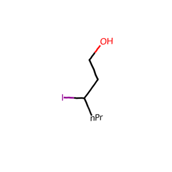 CCCC(I)CCO